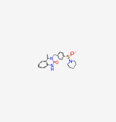 C=C1c2ccccc2NC(=O)N1Cc1ccc([S+]([O-])N2CCCCC2)cc1